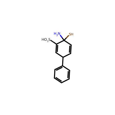 NC1(S)C=CC(c2ccccc2)C=C1S(=O)(=O)O